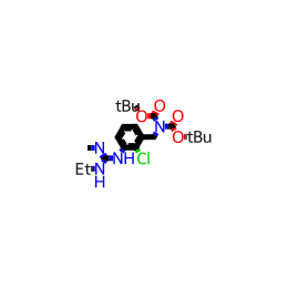 CCNC(=NC)Nc1cccc(CN(C(=O)OC(C)(C)C)C(=O)OC(C)(C)C)c1Cl